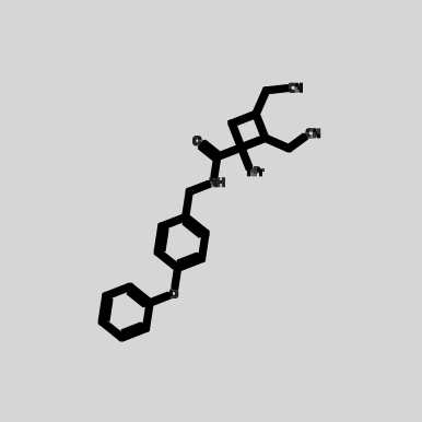 CCCC1(C(=O)NCc2ccc(Oc3ccccc3)cc2)CC(CC#N)C1CC#N